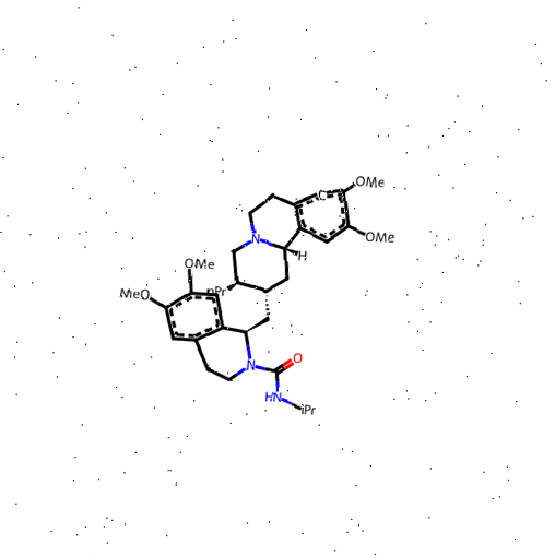 CCC[C@H]1CN2CCc3cc(OC)c(OC)cc3[C@@H]2C[C@@H]1C[C@@H]1c2cc(OC)c(OC)cc2CCN1C(=O)NC(C)C